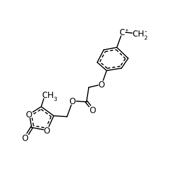 [CH2-][CH+]c1ccc(OCC(=O)OCc2oc(=O)oc2C)cc1